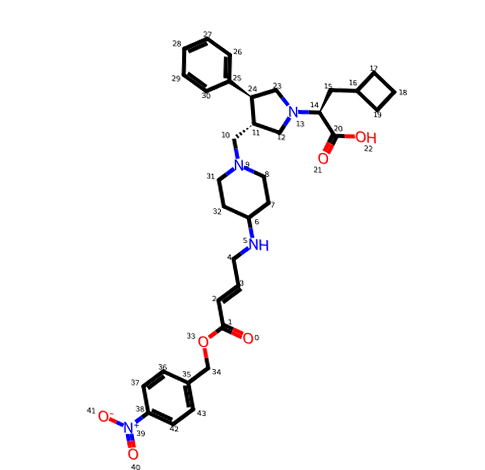 O=C(C=CCNC1CCN(C[C@H]2CN([C@@H](CC3CCC3)C(=O)O)C[C@@H]2c2ccccc2)CC1)OCc1ccc([N+](=O)[O-])cc1